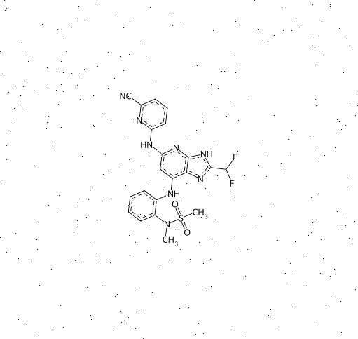 CN(c1ccccc1Nc1cc(Nc2cccc(C#N)n2)nc2[nH]c(C(F)F)nc12)S(C)(=O)=O